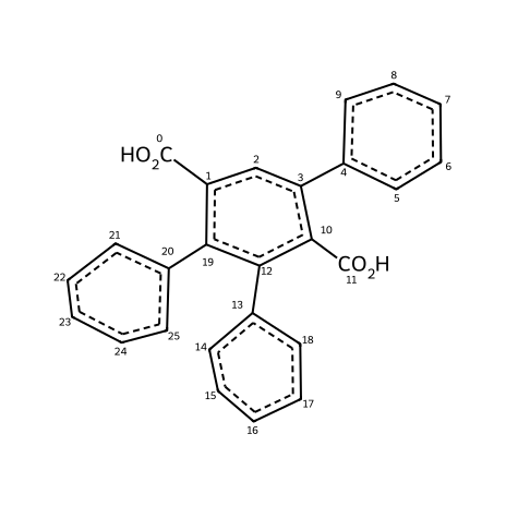 O=C(O)c1cc(-c2ccccc2)c(C(=O)O)c(-c2ccccc2)c1-c1ccccc1